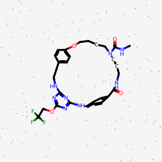 CNC(=O)N1CCCCOc2ccc(cc2)CNc2nc(nc(OCC(F)(F)F)n2)Nc2ccc(cc2)C(=O)NCCC1